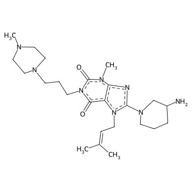 CC(C)=CCn1c(N2CCCC(N)C2)nc2c1c(=O)n(CCCN1CCN(C)CC1)c(=O)n2C